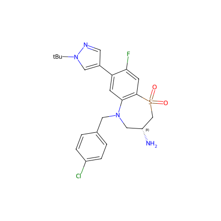 CC(C)(C)n1cc(-c2cc3c(cc2F)S(=O)(=O)C[C@H](N)CN3Cc2ccc(Cl)cc2)cn1